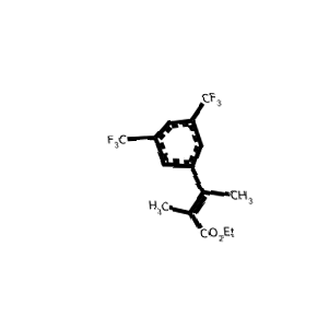 CCOC(=O)/C(C)=C(\C)c1cc(C(F)(F)F)cc(C(F)(F)F)c1